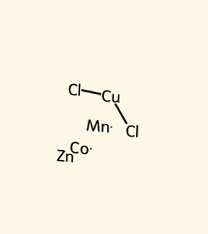 [Cl][Cu][Cl].[Co].[Mn].[Zn]